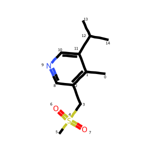 Cc1c(CS(C)(=O)=O)cncc1C(C)C